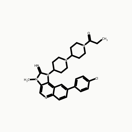 CCC(=O)N1CCC(N2CCC(n3c(=N)n(C)c4cnc5ccc(-c6ccc(Cl)cc6)cc5c43)CC2)CC1